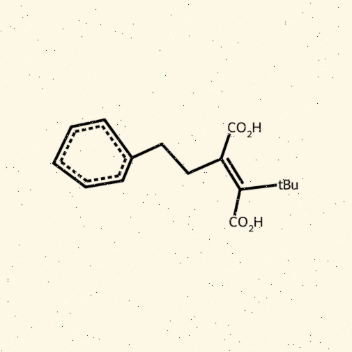 CC(C)(C)/C(C(=O)O)=C(/CCc1ccccc1)C(=O)O